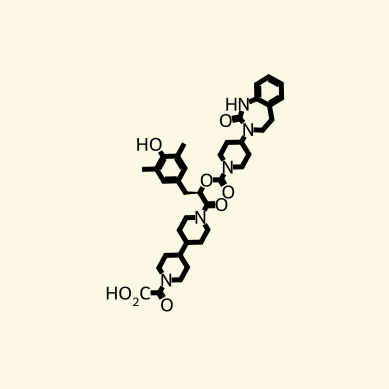 Cc1cc(C[C@@H](OC(=O)N2CCC(N3CCc4ccccc4NC3=O)CC2)C(=O)N2CCC(C3CCN(C(=O)C(=O)O)CC3)CC2)cc(C)c1O